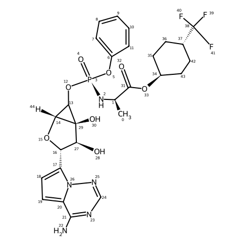 C[C@@H](N[P@@](=O)(Oc1ccccc1)OC1[C@H]2O[C@@H](c3ccc4c(N)ncnn34)[C@H](O)[C@@]12O)C(=O)O[C@H]1CC[C@H](C(F)(F)F)CC1